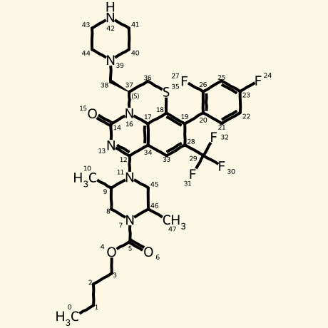 CCCCOC(=O)N1CC(C)N(c2nc(=O)n3c4c(c(-c5ccc(F)cc5F)c(C(F)(F)F)cc24)SC[C@@H]3CN2CCNCC2)CC1C